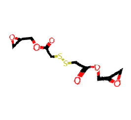 O=C(CSSCC(=O)OCC1CO1)OCC1CO1